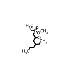 CCCC(CC)CC(=O)CP(=O)(OC)OC